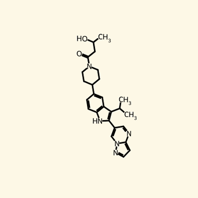 CC(O)CC(=O)N1CCC(c2ccc3[nH]c(-c4cnc5ccnn5c4)c(C(C)C)c3c2)CC1